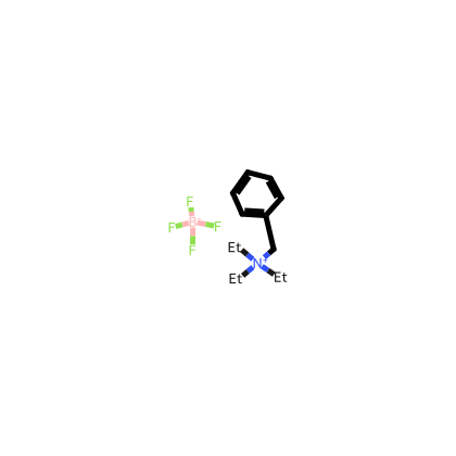 CC[N+](CC)(CC)Cc1ccccc1.F[B-](F)(F)F